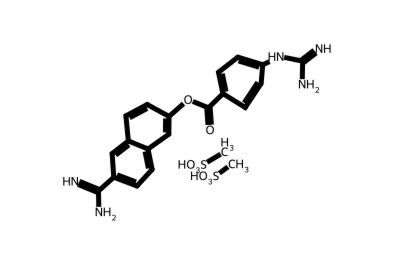 CS(=O)(=O)O.CS(=O)(=O)O.N=C(N)Nc1ccc(C(=O)Oc2ccc3cc(C(=N)N)ccc3c2)cc1